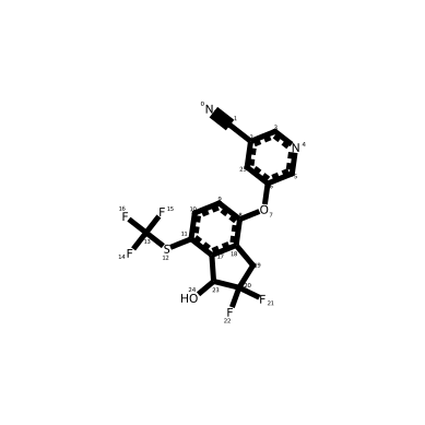 N#Cc1cncc(Oc2ccc(SC(F)(F)F)c3c2CC(F)(F)C3O)c1